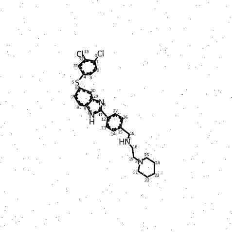 Clc1ccc(Sc2ccc3[nH]c(-c4ccc(CNCCN5CCCCC5)cc4)nc3c2)cc1Cl